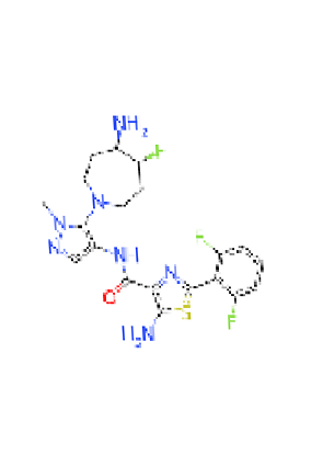 Cn1ncc(NC(=O)c2nc(-c3c(F)cccc3F)sc2N)c1N1CC[C@@H](N)[C@@H](F)CC1